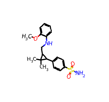 COc1ccccc1NCC1C(c2ccc(S(N)(=O)=O)cc2)C1(C)C